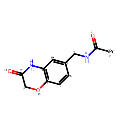 CC(C)C(=O)NCc1ccc2c(c1)NC(=O)CO2